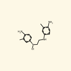 CCN(CCNc1ccc(N)c(C)c1)c1ccc(N)c(C)c1